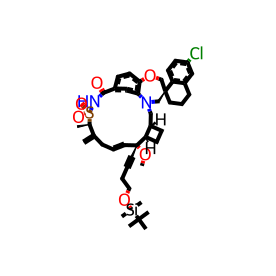 C=C1C/C=C/[C@@](C#CCCO[Si](C)(C)C(C)(C)C)(OC)[C@@H]2CC[C@H]2CN2C[C@@]3(CCCc4cc(Cl)ccc43)COc3ccc(cc32)C(=O)NS(=O)(=O)[C@@H]1C